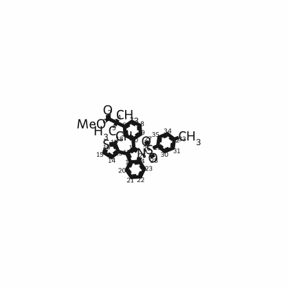 COC(=O)C(C)(C)c1cccc(-c2c(-c3ccsc3C#N)c3ccccc3n2S(=O)(=O)c2ccc(C)cc2)c1